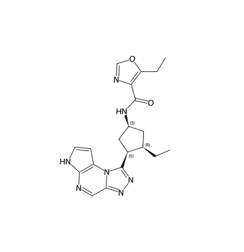 CCc1ocnc1C(=O)N[C@H]1C[C@@H](CC)[C@@H](c2nnc3cnc4[nH]ccc4n23)C1